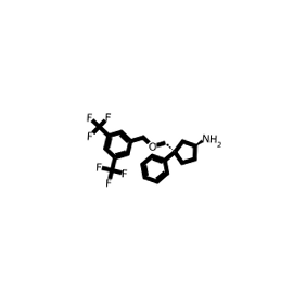 N[C@H]1CC[C@@](COCc2cc(C(F)(F)F)cc(C(F)(F)F)c2)(c2ccccc2)C1